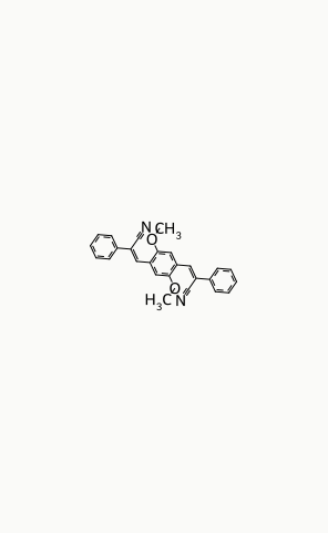 COc1cc(C=C(C#N)c2ccccc2)c(OC)cc1C=C(C#N)c1ccccc1